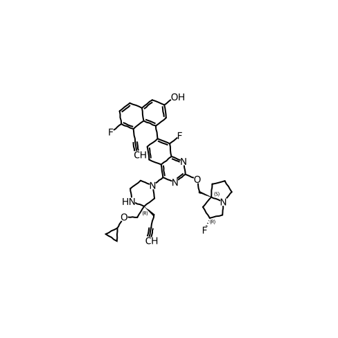 C#CC[C@]1(COC2CC2)CN(c2nc(OC[C@@]34CCCN3C[C@H](F)C4)nc3c(F)c(-c4cc(O)cc5ccc(F)c(C#C)c45)ccc23)CCN1